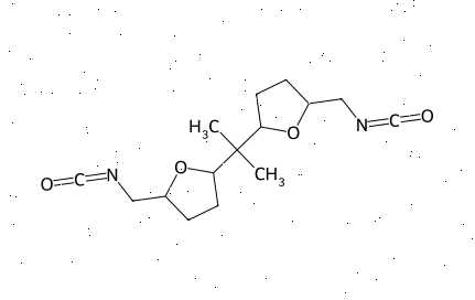 CC(C)(C1CCC(CN=C=O)O1)C1CCC(CN=C=O)O1